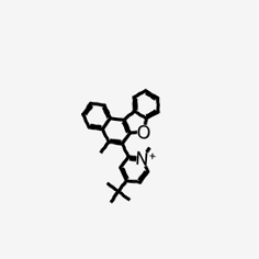 Cc1c(-c2cc(C(C)(C)C)cc[n+]2C)c2oc3ccccc3c2c2ccccc12